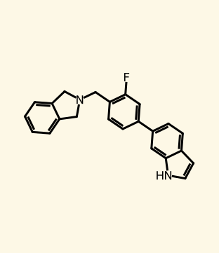 Fc1cc(-c2ccc3cc[nH]c3c2)ccc1CN1Cc2ccccc2C1